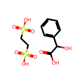 O=C(O)C(O)c1ccccc1.O=S(=O)(O)CCS(=O)(=O)O